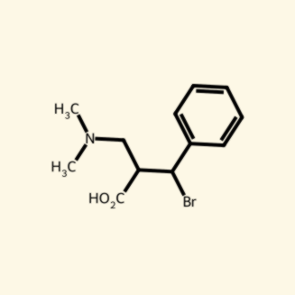 CN(C)CC(C(=O)O)C(Br)c1ccccc1